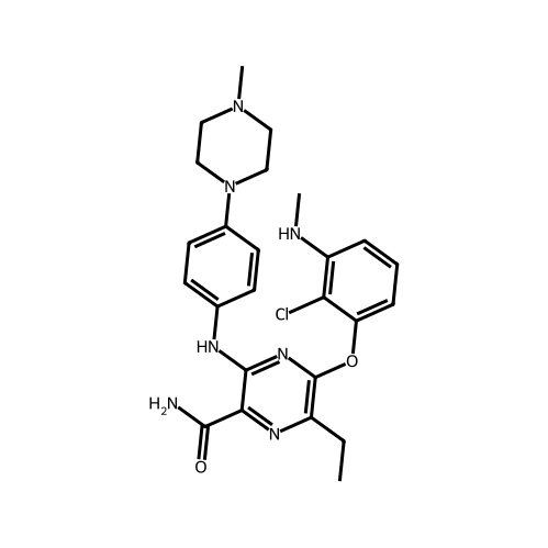 CCc1nc(C(N)=O)c(Nc2ccc(N3CCN(C)CC3)cc2)nc1Oc1cccc(NC)c1Cl